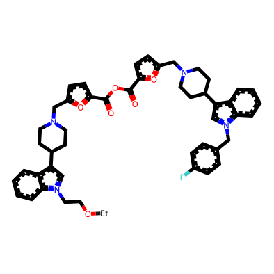 CCOCCn1cc(C2CCN(Cc3ccc(C(=O)OC(=O)c4ccc(CN5CCC(c6cn(Cc7ccc(F)cc7)c7ccccc67)CC5)o4)o3)CC2)c2ccccc21